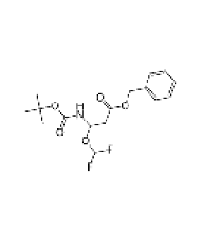 CC(C)(C)OC(=O)NC(CC(=O)OCc1ccccc1)OC(F)F